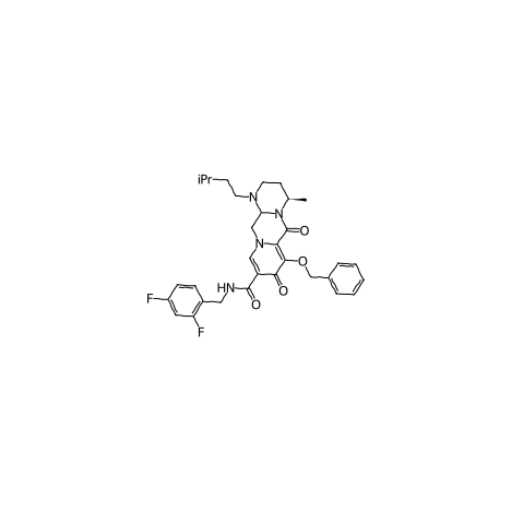 CC(C)CCN1CC[C@@H](C)N2C(=O)c3c(OCc4ccccc4)c(=O)c(C(=O)NCc4ccc(F)cc4F)cn3CC12